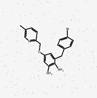 Cc1ccc(COc2cc(N)c(N)c(Cc3ccc(Br)cc3)c2)nc1